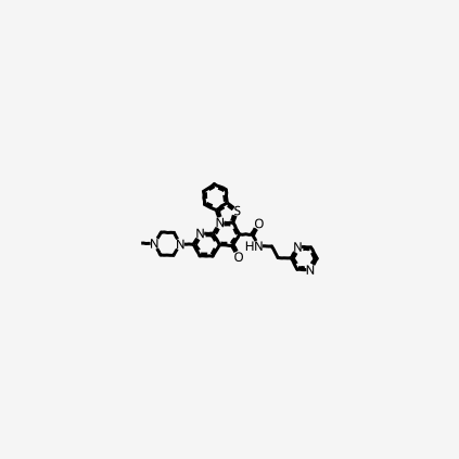 CN1CCN(c2ccc3c(=O)c(C(=O)NCCc4cnccn4)c4sc5ccccc5n4c3n2)CC1